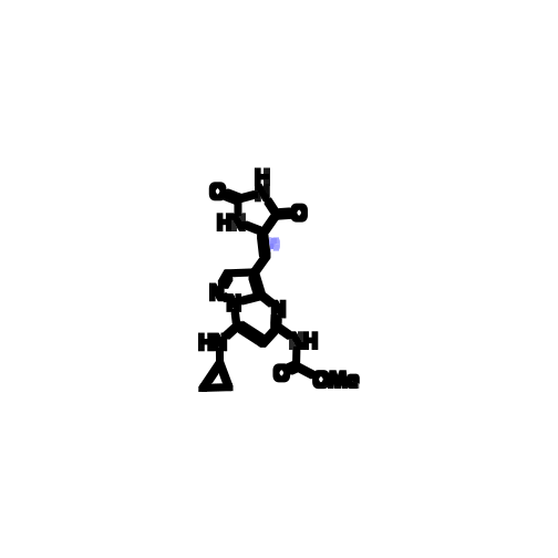 COC(=O)Nc1cc(NC2CC2)n2ncc(/C=C3\NC(=O)NC3=O)c2n1